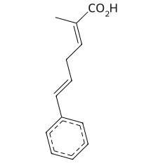 CC(=CCC=Cc1ccccc1)C(=O)O